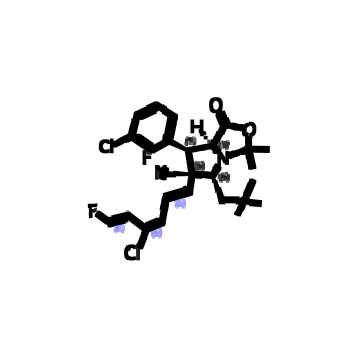 CC(C)(C)C[C@@H]1N2[C@H](C(=O)OC2(C)C)[C@H](c2cccc(Cl)c2F)[C@@]1(C#N)/C=C/C=C(Cl)\C=C\F